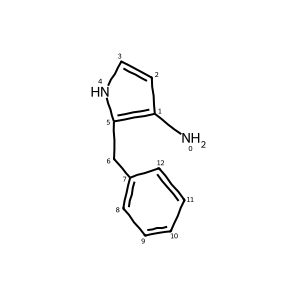 Nc1cc[nH]c1Cc1ccccc1